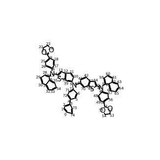 c1ccc(-c2ccc(N(c3ccc4cc(N(c5ccc(C6OCCO6)cc5)c5cccc6ccccc56)sc4c3)c3ccc4cc(N(c5ccc(C6OCCO6)cc5)c5cccc6ccccc56)sc4c3)cc2)cc1